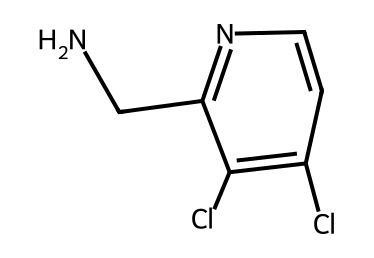 NCc1nccc(Cl)c1Cl